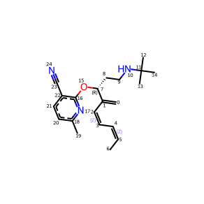 C=C(/C=C\C=C/C)[C@@H](CCNC(C)(C)C)Oc1nc(C)ccc1C#N